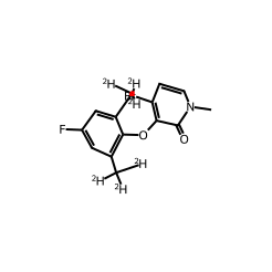 [2H]C([2H])([2H])c1cc(F)cc(C([2H])([2H])[2H])c1Oc1c(Br)ccn(C)c1=O